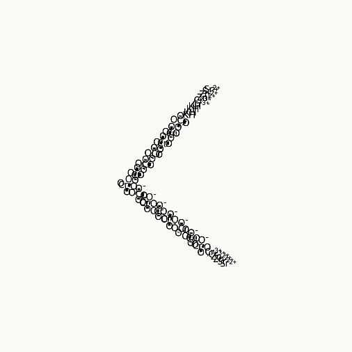 [Cr+3].[Cr+3].[Cr+3].[Cr+3].[KH].[KH].[KH].[KH].[O]=[Cr](=[O])([O-])[O-].[O]=[Cr](=[O])([O-])[O-].[O]=[Cr](=[O])([O-])[O-].[O]=[Cr](=[O])([O-])[O-].[O]=[Cr](=[O])([O-])[O-].[O]=[Cr](=[O])([O-])[O-].[O]=[Cr](=[O])([O-])[O-].[O]=[Cr](=[O])([O-])[O-].[O]=[Cr](=[O])([O-])[O-].[O]=[Cr](=[O])([O-])[O-].[O]=[Cr](=[O])([O-])[O-].[O]=[Cr](=[O])([O-])[O-].[O]=[Cr](=[O])([O-])[O-].[O]=[Cr](=[O])([O-])[O-].[Sr+2].[Sr+2].[Sr+2].[Sr+2].[Zn+2].[Zn+2].[Zn+2].[Zn+2]